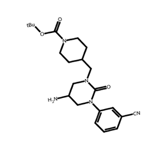 CC(C)(C)OC(=O)N1CCC(CN2CC(N)CN(c3cccc(C#N)c3)C2=O)CC1